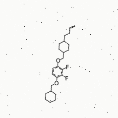 C=CCCC1CCC(COc2ccc(OCC3CCCCC3)c(F)c2F)CC1